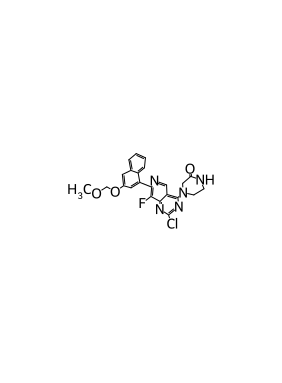 COCOc1cc(-c2ncc3c(N4CCNC(=O)C4)nc(Cl)nc3c2F)c2ccccc2c1